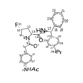 CC(=O)Nc1ccc(CC(=O)N2C[C@H](F)C[C@H]2C(=O)N[C@@H](c2ccccc2)c2ccc(C(C)C)cc2)cc1